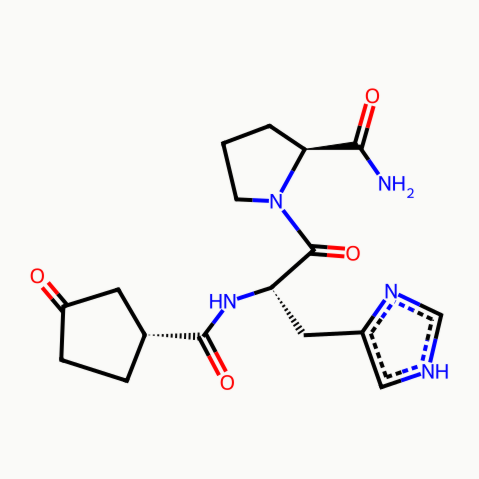 NC(=O)[C@@H]1CCCN1C(=O)[C@H](Cc1c[nH]cn1)NC(=O)[C@@H]1CCC(=O)C1